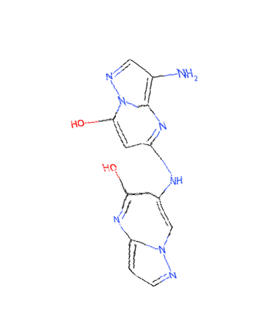 Nc1cnn2c(O)cc(Nc3cn4nccc4nc3O)nc12